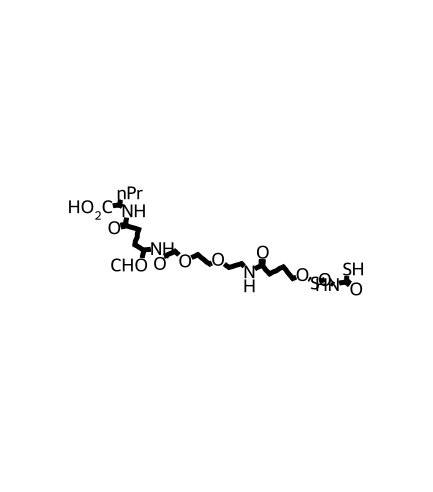 CCCC(NC(=O)CCC(C=O)NC(=O)COCCOCCNC(=O)CCCOSONC(=O)S)C(=O)O